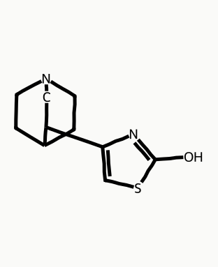 Oc1nc(C2CN3CCC2CC3)cs1